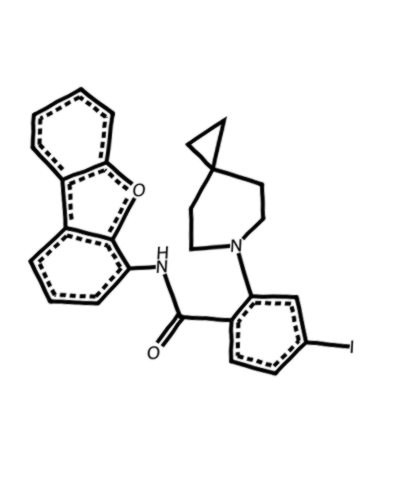 O=C(Nc1cccc2c1oc1ccccc12)c1ccc(I)cc1N1CCC2(CC1)CC2